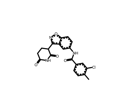 Cc1ccc(C(=O)Nc2ccc3onc(C4CCC(=O)NC4=O)c3c2)cc1Cl